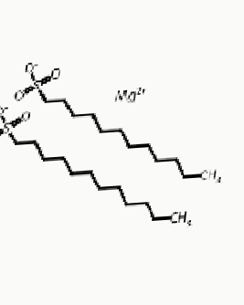 CCCCCCCCCCCCS(=O)(=O)[O-].CCCCCCCCCCCCS(=O)(=O)[O-].[Mg+2]